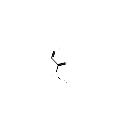 C=CC(=O)OC#N.[KH]